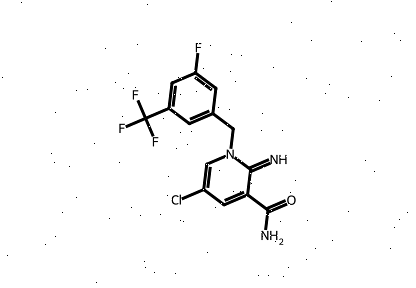 N=c1c(C(N)=O)cc(Cl)cn1Cc1cc(F)cc(C(F)(F)F)c1